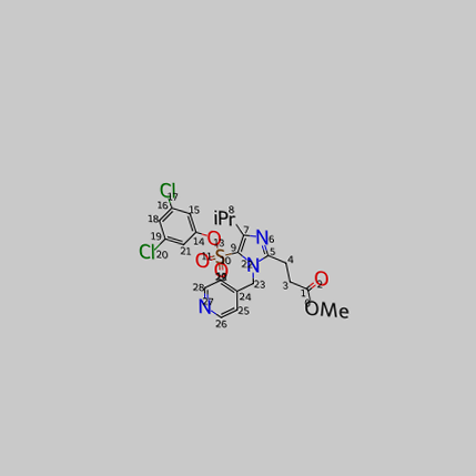 COC(=O)CCc1nc(C(C)C)c(S(=O)(=O)Oc2cc(Cl)cc(Cl)c2)n1Cc1ccncc1